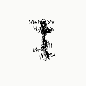 COC(=O)[C@H](CCCNC(=N)N)Nc1ccc(OCCSc2ncc(C(C)(C)c3ccc(OC)c(OC)c3)n2-c2ccc(F)cc2)cc1